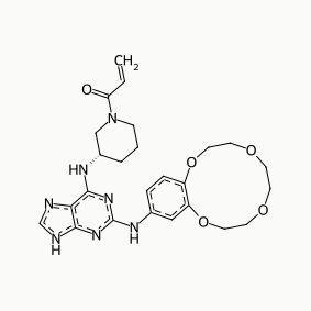 C=CC(=O)N1CCC[C@H](Nc2nc(Nc3ccc4c(c3)OCCOCCOCCO4)nc3[nH]cnc23)C1